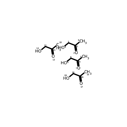 CC(=O)CO.CC(=O)CO.CC(=O)CO.CC(=O)CO